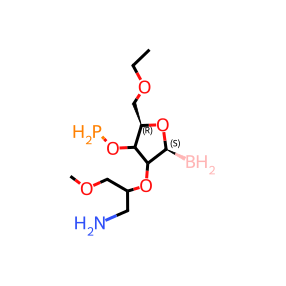 B[C@@H]1O[C@H](COCC)C(OP)C1OC(CN)COC